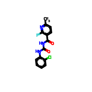 O=C(NC(=O)c1ccc(C(F)(F)F)nc1F)Nc1ccccc1Cl